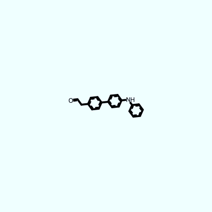 O=CCc1ccc(-c2ccc(Nc3ccccc3)cc2)cc1